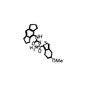 COC1CCc2c(csc2S(N)(=O)=NC(=O)Nc2c3c(cc4c2CCC4)CCC3)C1